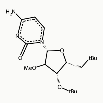 COC1[C@@H](OC(C)(C)C)[C@@H](CC(C)(C)C)O[C@H]1n1ccc(N)nc1=O